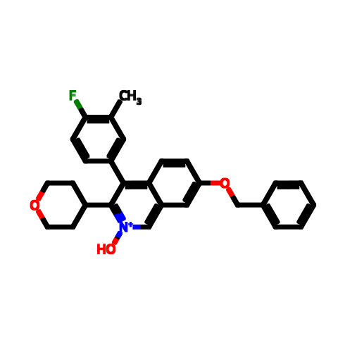 Cc1cc(-c2c(C3CCOCC3)[n+](O)cc3cc(OCc4ccccc4)ccc23)ccc1F